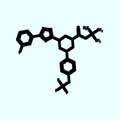 CC(C)(C)CC(=O)N1CC(c2ccc(OC(F)(F)F)cc2)CC(c2nc(-c3cccc(F)c3)no2)C1